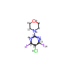 Clc1c(I)nc(N2CCOCC2)nc1I